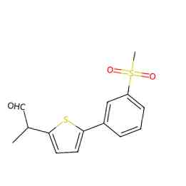 CC(C=O)c1ccc(-c2cccc(S(C)(=O)=O)c2)s1